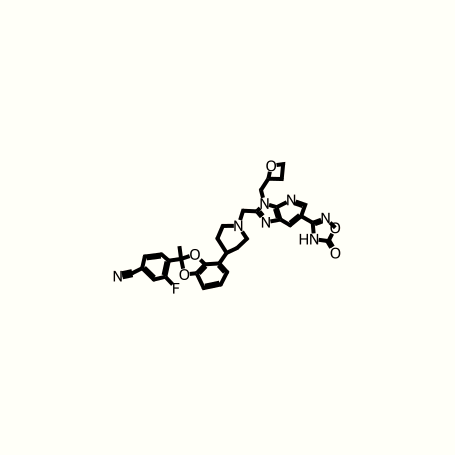 CC1(c2ccc(C#N)cc2F)Oc2cccc(C3CCN(Cc4nc5cc(-c6noc(=O)[nH]6)cnc5n4CC4CCO4)CC3)c2O1